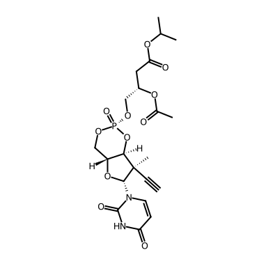 C#C[C@]1(C)[C@@H]2O[P@@](=O)(OC[C@H](CC(=O)OC(C)C)OC(C)=O)OC[C@H]2O[C@H]1n1ccc(=O)[nH]c1=O